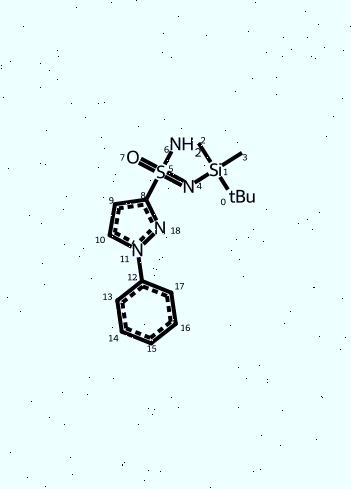 CC(C)(C)[Si](C)(C)N=S(N)(=O)c1ccn(-c2ccccc2)n1